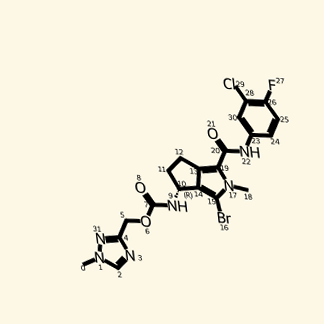 Cn1cnc(COC(=O)N[C@@H]2CCc3c2c(Br)n(C)c3C(=O)Nc2ccc(F)c(Cl)c2)n1